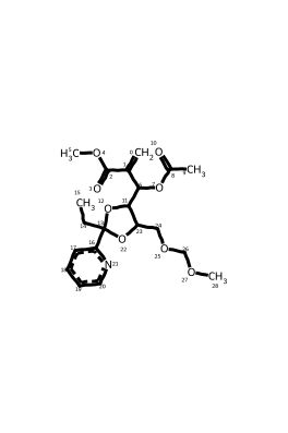 C=C(C(=O)OC)C(OC(C)=O)C1OC(CC)(c2ccccn2)OC1COCOC